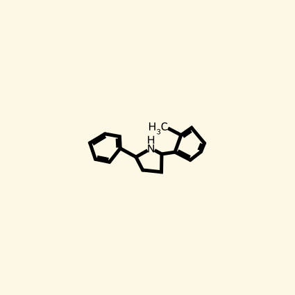 Cc1ccccc1C1CCC(c2ccccc2)N1